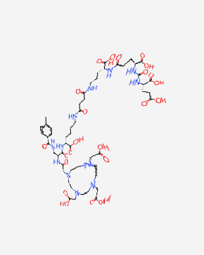 Cc1ccc(C(=O)NC[C@H](NC(=O)CN2CCN(CC(=O)O)CCN(CC(=O)O)CCN(CC(=O)O)CC2)C(=O)N[C@H](CCCCNC(=O)CCC(=O)NCCC[C@@H](NC(=O)CC[C@H](NC(=O)N[C@@H](CCC(=O)O)C(=O)O)C(=O)O)C(=O)O)C(=O)O)cc1